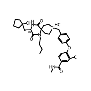 CCCCN1C(=O)[C@@H](CC2(O)CCCC2)NC(=O)C12CCN(Cc1ccc(Oc3ccc(C(=O)NC)cc3Cl)cc1)CC2.Cl